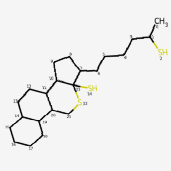 CC(S)CCCCC1CCC2C3CCC4CCCCC4C3CSC12S